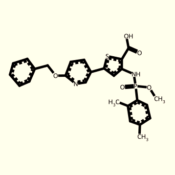 COP(=O)(Nc1cc(-c2ccc(OCc3ccccc3)nc2)sc1C(=O)O)c1ccc(C)cc1C